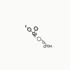 O=C(O)COC[C@H]1CC[C@H](Cn2cc(-c3ccc(F)cc3)c(-c3ccccc3)n2)CC1